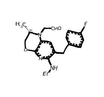 CCNc1nc2c(cc1Cc1ccc(F)cc1)N(CC=O)[C@@H](C)CO2